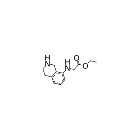 CCOC(=O)CNc1cccc2c1CNCC2